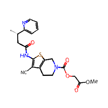 COC(=O)COC(=O)N1CCc2c(sc(NC(=O)C[C@H](C)c3ccccn3)c2C#N)C1